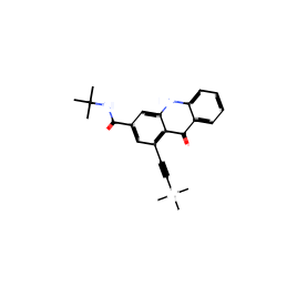 CC(C)(C)NC(=O)c1cc(C#C[Si](C)(C)C)c2c(=O)c3ccccc3[nH]c2c1